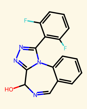 OC1N=Cc2ccccc2-n2c(-c3c(F)cccc3F)nnc21